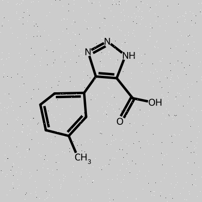 Cc1cccc(-c2nn[nH]c2C(=O)O)c1